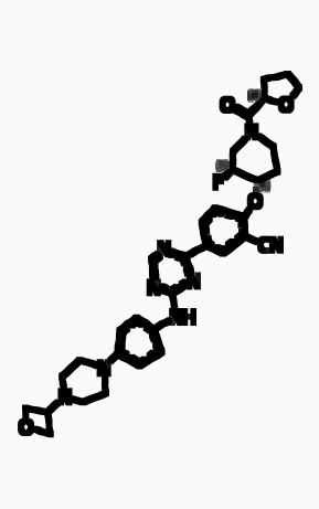 N#Cc1cc(-c2ncnc(Nc3ccc(N4CCN(C5COC5)CC4)cc3)n2)ccc1O[C@H]1CCN(C(=O)[C@H]2CCCO2)C[C@@H]1F